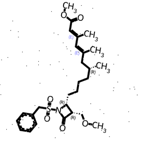 COC[C@@H]1C(=O)N(S(=O)(=O)Cc2ccccc2)[C@@H]1CCCC[C@@H](C)C/C(C)=C/C(C)=C/C(=O)OC